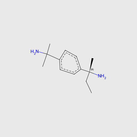 CC[C@@](C)(N)c1ccc(C(C)(C)N)cc1